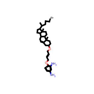 CC(C)CCCC(C)C1CCC2C3CC=C4CC(OC/C=C/COc5ccc(N)cc5N)CCC4(C)C3CCC12C